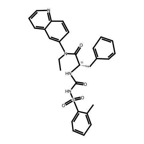 CCN(C(=O)[C@H](Cc1ccccc1)NC(=O)NS(=O)(=O)c1ccccc1C)c1ccc2ncccc2c1